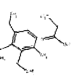 CCC(=O)O.CCc1ccc(N)c(CC)c1CC